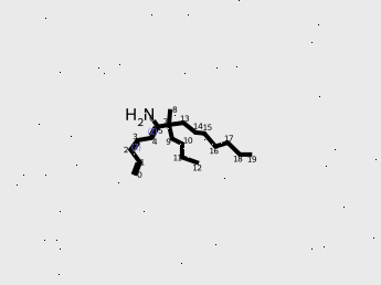 C=C/C=C\C=C(/N)C(C)(CCCC)CCCCCCC